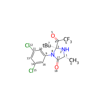 C[C@H]1N[C@@](C(=O)C(F)(F)F)(C(C)(C)C)N(c2cc(Cl)cc(Cl)c2)C1=O